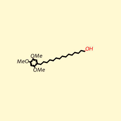 COc1cc(OC)c(OC)cc1CCCCCCCCCCCCCCCO